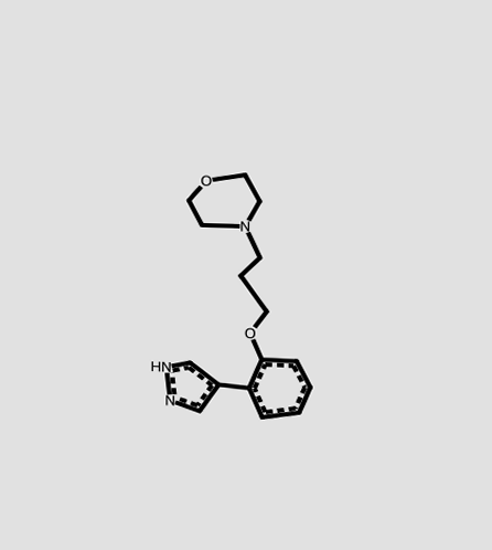 c1ccc(-c2cn[nH]c2)c(OCCCN2CCOCC2)c1